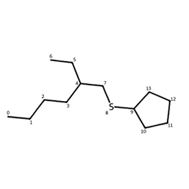 CCCCC(CC)CSC1CCCC1